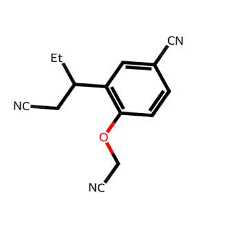 CCC(CC#N)c1cc(C#N)ccc1OCC#N